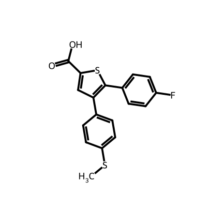 CSc1ccc(-c2cc(C(=O)O)sc2-c2ccc(F)cc2)cc1